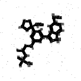 CO[C@@]1(c2cc(OCC(C)O[Si](C)(C)C(C)(C)C)cc(-c3c[nH]c4cnc(NC(C)=O)cc34)n2)CCOC1